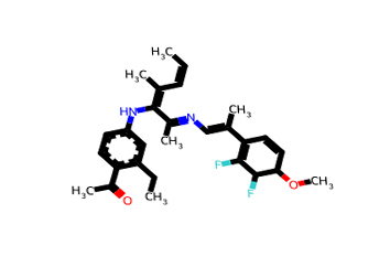 C\C=C/C(C)=C(Nc1ccc(C(C)=O)c(CC)c1)\C(C)=N\C=C(/C)C1=C(F)C(F)C(OC)C=C1